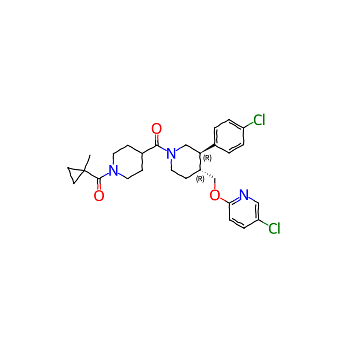 CC1(C(=O)N2CCC(C(=O)N3CC[C@@H](COc4ccc(Cl)cn4)[C@H](c4ccc(Cl)cc4)C3)CC2)CC1